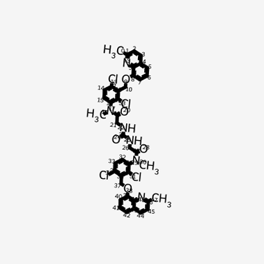 Cc1ccc2cccc(OCc3c(Cl)ccc(N(C)C(=O)CNC(=O)NCC(=O)N(C)c4ccc(Cl)c(COc5cccc6ccc(C)nc56)c4Cl)c3Cl)c2n1